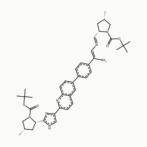 C[C@H]1C[C@@H](/C=N/C=C(\N)c2ccc(-c3ccc4nc(-c5c[nH]c([C@@H]6C[C@H](C)CN6C(=O)OC(C)(C)C)n5)ccc4c3)cc2)N(C(=O)OC(C)(C)C)C1